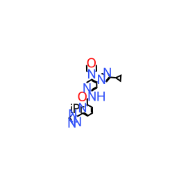 CC(C)n1cnnc1-c1cccc(C(=O)Nc2cc(-n3cnc(C4CC4)c3)c(N3CCOCC3)cn2)n1